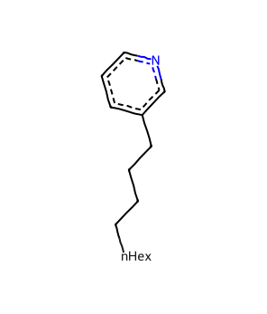 CCCCCCCCCCc1cccnc1